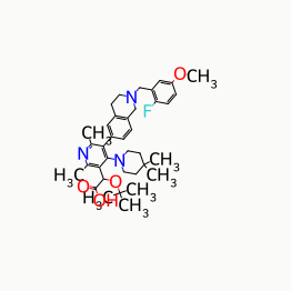 COc1ccc(F)c(CN2CCc3cc(-c4c(C)nc(C)c(C(OC(C)(C)C)C(=O)O)c4N4CCC(C)(C)CC4)ccc3C2)c1